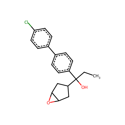 CCC(O)(c1ccc(-c2ccc(Cl)cc2)cc1)C1CC2OC2C1